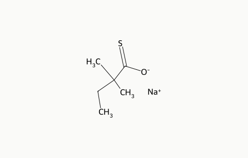 CCC(C)(C)C([O-])=S.[Na+]